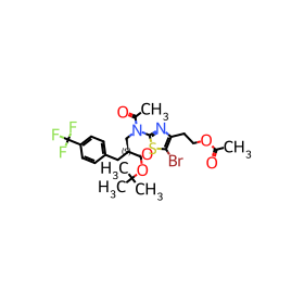 CC(=O)OCCc1nc(N(C[C@H](Cc2ccc(C(F)(F)F)cc2)C(=O)OC(C)(C)C)C(C)=O)sc1Br